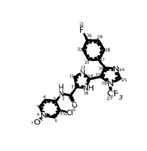 O=C(Nc1cc[n+]([O-])cc1Cl)c1cnc(-c2c(-c3ccc(F)cc3)ncn2C(F)(F)F)[nH]1